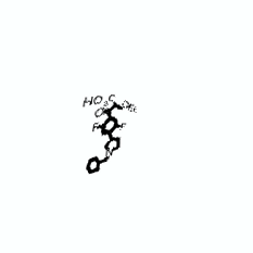 CCOC=C(C(=O)O)C(=O)c1cc(F)c(C2CCN(Cc3ccccc3)C2)cc1F